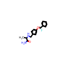 CC(NCc1ccc(O[C@@H](F)c2ccccc2)cc1)C(N)=O